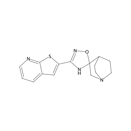 c1cnc2sc(C3=NOC4(CN5CCC4CC5)N3)cc2c1